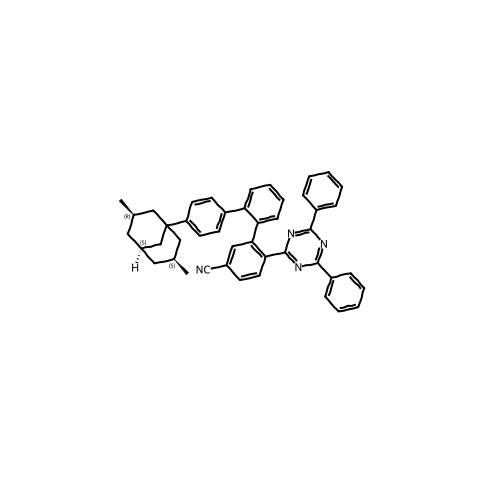 C[C@@H]1C[C@@H]2C[C@H](C)CC(c3ccc(-c4ccccc4-c4cc(C#N)ccc4-c4nc(-c5ccccc5)nc(-c5ccccc5)n4)cc3)(C1)C2